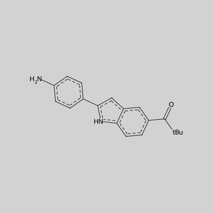 CC(C)(C)C(=O)c1ccc2[nH]c(-c3ccc(N)cc3)cc2c1